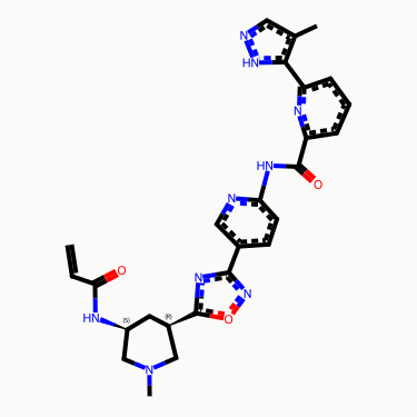 C=CC(=O)N[C@H]1C[C@@H](c2nc(-c3ccc(NC(=O)c4cccc(-c5[nH]ncc5C)n4)nc3)no2)CN(C)C1